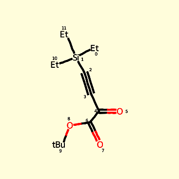 CC[Si](C#CC(=O)C(=O)OC(C)(C)C)(CC)CC